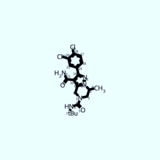 CC1CN(C(=O)NC(C)(C)C)Cc2c(C(N)=O)c(-c3ccc(Cl)c(Cl)c3)nn21